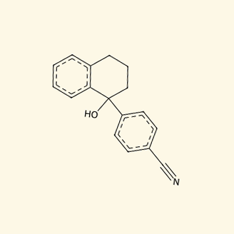 N#Cc1ccc(C2(O)CCCc3ccccc32)cc1